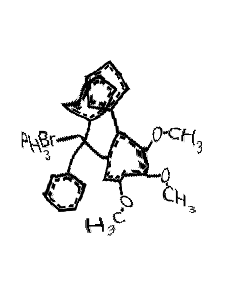 COc1cc(C(Br)(c2ccccc2)c2ccccc2)c(-c2ccccc2)c(OC)c1OC.P